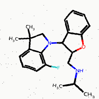 CC(C)NCC1Oc2ccccc2C1N1CC(C)(C)c2cccc(F)c21